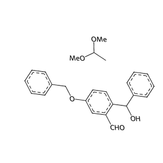 COC(C)OC.O=Cc1cc(OCc2ccccc2)ccc1C(O)c1ccccc1